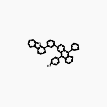 CCC(C)c1ccc(-c2c3ccccc3c(-c3ccccc3)c3ccc(-c4cccc(-c5cccc6c5oc5ccccc56)c4)cc23)cc1